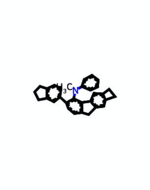 CN(c1ccccc1)c1c(-c2ccc3c(c2)CCC3)ccc2c1-c1cc3c(cc1C2)CC3